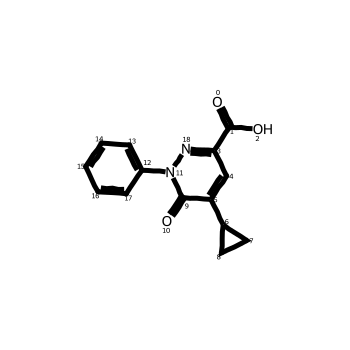 O=C(O)c1cc(C2CC2)c(=O)n(-c2ccccc2)n1